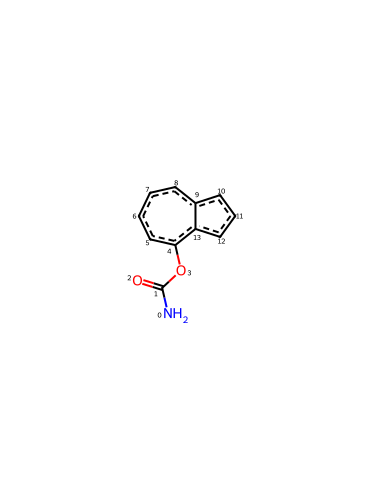 NC(=O)Oc1ccccc2cccc1-2